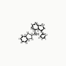 c1csc(-c2csc3ncnc(NC4Cc5ccccc5C4)c23)c1